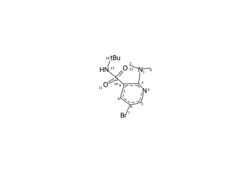 CN(C)c1ncc(Br)cc1S(=O)(=O)NC(C)(C)C